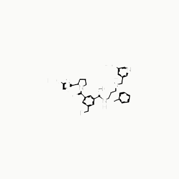 Cc1csc(C2CCCN2C(=O)c2cc(CF)cc(C(=O)N[C@@H](Cc3ccccc3)[C@H](O)CNCc3cncc(C(F)(F)F)c3)c2)n1